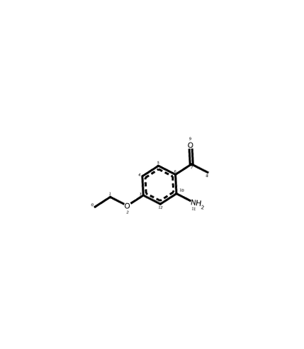 CCOc1ccc(C(C)=O)c(N)c1